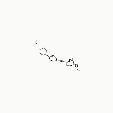 CCCCC1CCC(c2ccc(C#Cc3ccc(OCC)cn3)cc2)CC1